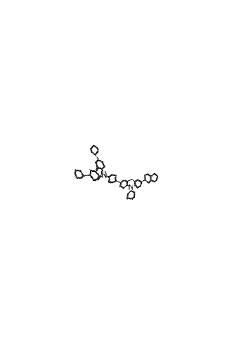 c1ccc(-c2ccc3c(c2)c2cc(-c4ccccc4)ccc2n3-c2ccc(-c3ccc4c(c3)Cc3cc(-c5ccc6ccccc6c5)ccc3N4c3ccccc3)cc2)cc1